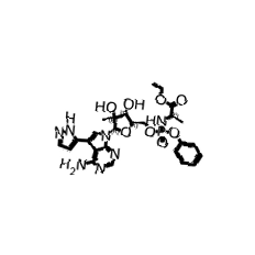 CCOC(=O)[C@@H](C)NP(=O)(OC[C@H]1O[C@@H](n2cc(-c3ccn[nH]3)c3c(N)ncnc32)[C@](C)(O)[C@H]1O)Oc1ccccc1